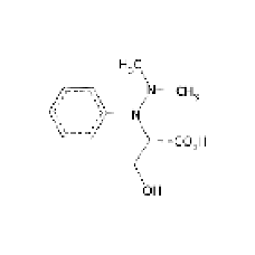 CN(C)N(c1ccccc1)[C@@H](CO)C(=O)O